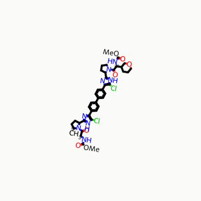 COC(=O)NCC(=O)N1C(c2nc(-c3ccc(-c4ccc(-c5nc(C6CCCN6C(=O)[C@H](NC(=O)OC)C6CCCOC6)[nH]c5Cl)cc4)cc3)c(Cl)[nH]2)CC[C@H]1C